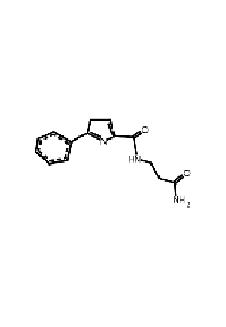 NC(=O)CCNC(=O)C1=CCC(c2ccccc2)=N1